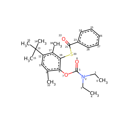 CCN(CC)C(=O)Oc1c(C)cc(C(C)(C)C)c(C)c1SC(=O)c1ccccc1